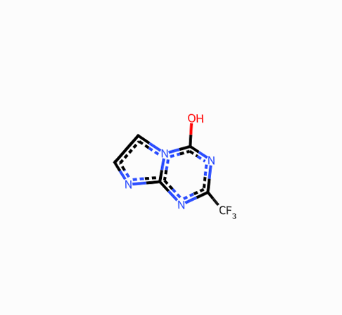 Oc1nc(C(F)(F)F)nc2nccn12